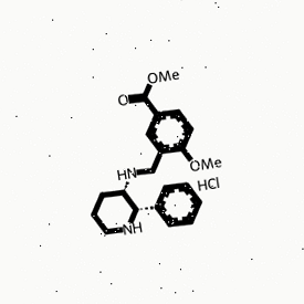 COC(=O)c1ccc(OC)c(CN[C@H]2CCCN[C@H]2c2ccccc2)c1.Cl